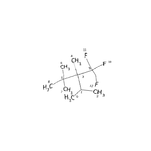 CC(C)C(C)(C(C)(C)C)C(F)(F)F